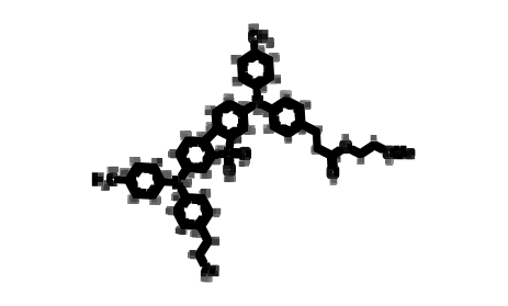 COCCOC(=O)CCc1ccc(N(c2ccc(C)cc2)c2ccc3c(c2)S(=O)(=O)c2cc(N(c4ccc(C)cc4)c4ccc(CCC(C)=O)cc4)ccc2-3)cc1